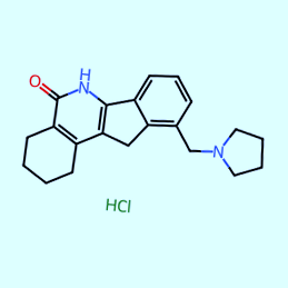 Cl.O=c1[nH]c2c(c3c1CCCC3)Cc1c(CN3CCCC3)cccc1-2